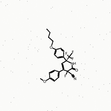 CCCCOc1ccc([C@@]2(C(F)(F)F)C=C(c3ccc(OC)cc3)C(F)(C#N)C(=O)N2)cc1